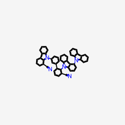 N#Cc1cccc(-c2cccc(-n3c4ccccc4c4cccc(C#N)c43)c2)c1-n1c2ccccc2c2c(-n3c4ccccc4c4ccccc43)cccc21